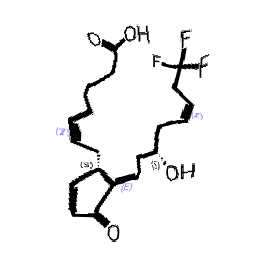 O=C(O)CCC/C=C\C[C@H]1C=CC(=O)/C1=C/C[C@@H](O)C/C=C\CC(F)(F)F